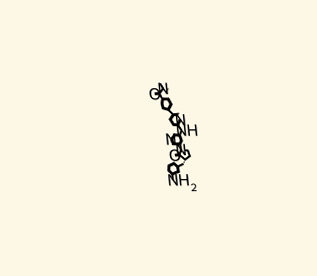 CN(C)C(=O)c1ccc(-c2ccc(Nc3cncc(N4CC[C@H](Cc5cccc(N)c5)C4=O)c3)nc2)cc1